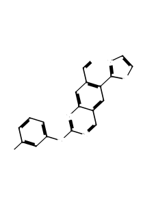 O=Cc1cc2nc(Nc3cccc(F)c3)ncc2cc1-c1nccs1